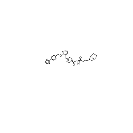 O=C(CCCC1CC2CCCC(C1)C2)NCC(=O)N1CCN(Cc2ccccc2OCc2ccc(-c3ncco3)cc2)CC1